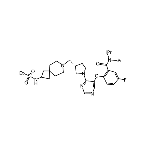 CCS(=O)(=O)NC1CC2(CCN(C[C@@H]3CCN(c4ncncc4Oc4ccc(F)cc4C(=O)N(C(C)C)C(C)C)C3)CC2)C1